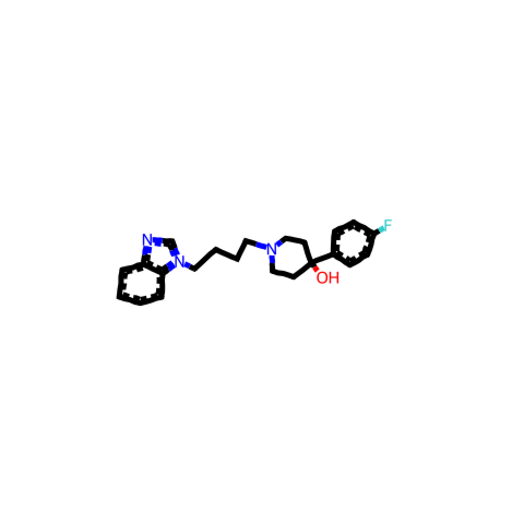 OC1(c2ccc(F)cc2)CCN(CCCCn2cnc3ccccc32)CC1